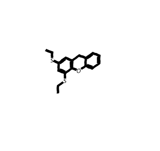 CCSc1cc2c(c(SCC)c1)Oc1ccccc1C2